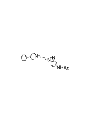 CC(=O)Nc1ccc2c(c1)ncn2CCCCN1CC=C(c2ccccc2)CC1